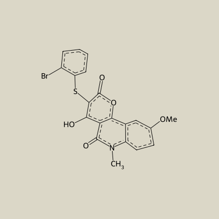 COc1ccc2c(c1)c1oc(=O)c(Sc3ccccc3Br)c(O)c1c(=O)n2C